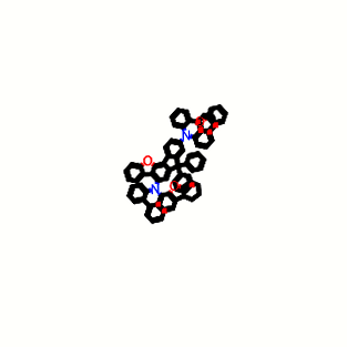 c1ccc(-c2ccccc2N(c2ccc3c(c2)C(c2ccccc2)(c2ccccc2)c2cc(N(c4ccccc4-c4ccccc4)c4cccc5c4OC4CCCCC54)c4c(oc5ccccc54)c2-3)c2cccc3c2oc2ccccc23)cc1